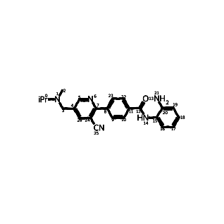 CC(C)N(C)Cc1cnc(-c2ccc(C(=O)Nc3ccccc3N)cc2)c(C#N)c1